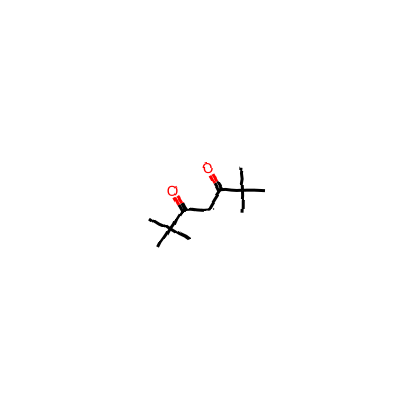 CC(C)(C)C(=O)[CH]C(=O)C(C)(C)C